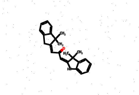 CC1(C)/C(=C\C(=O)/C=C2/Cc3ccccc3C2(C)C)Bc2ccccc21